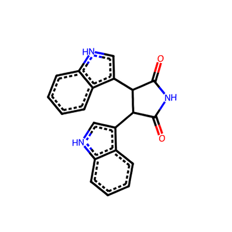 O=C1NC(=O)C(c2c[nH]c3ccccc23)C1c1c[nH]c2ccccc12